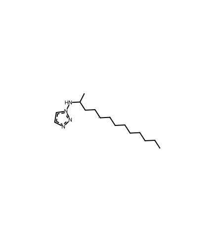 CCCCCCCC[CH]CCC(C)Nn1ccnn1